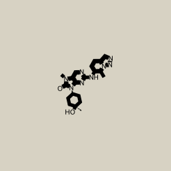 Cc1c(Nc2ncc3c(n2)n([C@H]2CC[C@](C)(O)CC2)c(=O)n3C)ccc2cnnn12